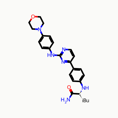 CC[C@@H](C)[C@@H](Nc1ccc(-c2ccnc(Nc3ccc(N4CCOCC4)cc3)n2)cc1)C(N)=O